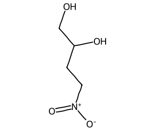 O=[N+]([O-])CCC(O)CO